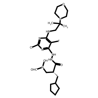 CC(C)(CNc1nc(Cl)nc(NNC(=O)[C@H](CC2CCCC2)CN(O)C=O)c1F)N1CCOCC1